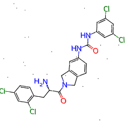 N[C@H](Cc1ccc(Cl)cc1Cl)C(=O)N1Cc2ccc(NC(=O)Nc3cc(Cl)cc(Cl)c3)cc2C1